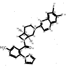 Cc1ccc(-n2cccn2)c(C(=O)N2C[C@H]3CCN(c4cnc5cc(F)c(F)cc5n4)C[C@H]32)c1